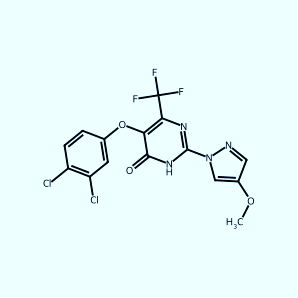 COc1cnn(-c2nc(C(F)(F)F)c(Oc3ccc(Cl)c(Cl)c3)c(=O)[nH]2)c1